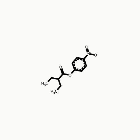 CCC(CC)C(=O)Oc1ccc([N+](=O)[O-])cc1